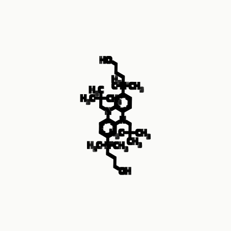 CC(C)(C)CN1c2ccc([N+](C)(C)CCCO)cc2N(CC(C)(C)C)c2ccc([N+](C)(C)CCCO)cc21